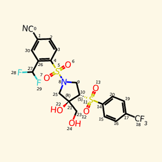 N#Cc1ccc(S(=O)(=O)N2C[C@H](S(=O)(=O)c3ccc(C(F)(F)F)cc3)[C@](O)(CO)C2)c(C(F)F)c1